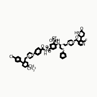 CC1(C)CCC(c2ccc(Cl)cc2)=C(CN2CCN(c3ccc(C(=O)NS(=O)(=O)c4ccc(N[C@H](CCN5CCN(Cc6ccnc(F)c6C6CCC(=O)NC6=O)CC5)CSc5ccccc5)c(S(=O)(=O)C(F)(F)F)c4)cc3)CC2)C1